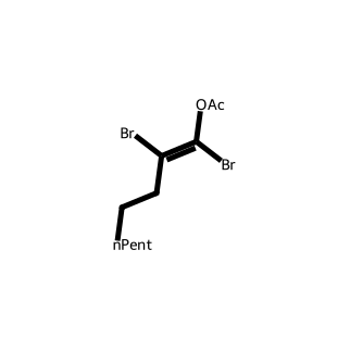 CCCCCCCC(Br)=C(Br)OC(C)=O